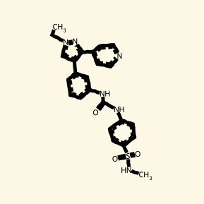 CCn1cc(-c2cccc(NC(=O)Nc3ccc(S(=O)(=O)NC)cc3)c2)c(-c2ccncc2)n1